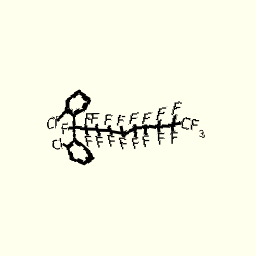 FC(F)(F)C(F)(F)C(F)(F)C(F)(F)C(F)(F)C(F)(F)C(F)(F)C(F)(F)C(F)(F)C(F)(c1ccccc1Cl)c1ccccc1Cl